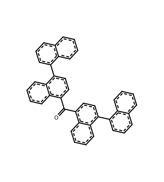 O=C(c1ccc(-c2cccc3ccccc23)c2ccccc12)c1ccc(-c2cccc3ccccc23)c2ccccc12